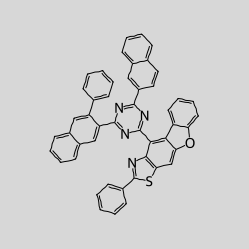 c1ccc(-c2nc3c(-c4nc(-c5ccc6ccccc6c5)nc(-c5cc6ccccc6cc5-c5ccccc5)n4)c4c(cc3s2)oc2ccccc24)cc1